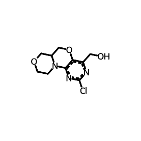 OCc1nc(Cl)nc2c1OCC1COCCN21